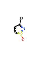 [CH2]Cc1cc[s+]([O-])n1